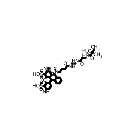 CCC(C)(C)C(=O)NCCC(=O)NCCNC(=O)CCCN(C)C(=O)c1ccccc1-c1c2ccc(=N)c(S(=O)(=O)O)c-2oc2c(S(=O)(=O)O)c(N)ccc12